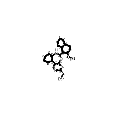 CCOc1ccc2ccccc2c1C1Nc2ccccc2-c2nnc(SCC)nc2O1